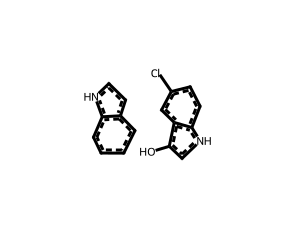 Oc1c[nH]c2ccc(Cl)cc12.c1ccc2[nH]ccc2c1